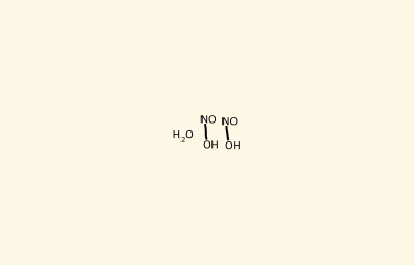 O.O=NO.O=NO